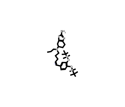 CCCN(CCC/C=C\c1ccc(O[Si](C)(C)C(C)(C)C)c(O[Si](C)(C)C(C)(C)C)c1)C1CCc2nc(N)sc2C1